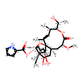 CO[C@H]1C[C@H]2C[C@@H](O)[C@@]3(C)[C@H]4O[C@]2(/C(C)=C/[C@@H](C)[C@@H]([C@@H](C)O)OC1=O)[C@@H]3[C@H](O)[C@@H](C)[C@H]4OC(=O)c1ccc[nH]1